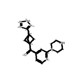 O=C(c1ccnc(N2CCNCC2)c1)C12CC(c3nn[nH]n3)(C1)C2